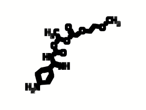 COCCOCC(=O)OC(C)OC(=O)NC(=N)c1ccc(N)cc1